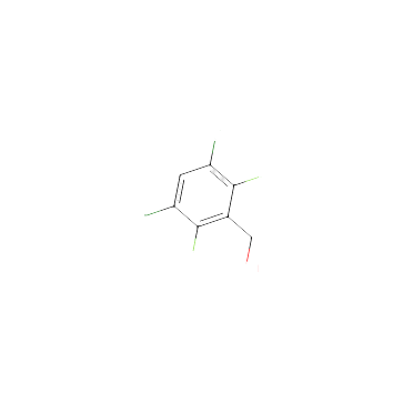 OCc1c(F)c(Cl)cc(Cl)c1F